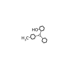 Cc1ccc(C2C(c3ccccc3)C2c2ccccc2O)cc1